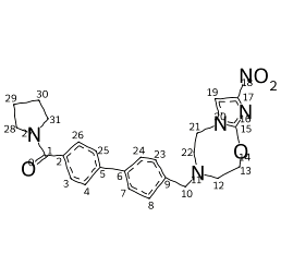 O=C(c1ccc(-c2ccc(CN3CCOc4nc([N+](=O)[O-])cn4CC3)cc2)cc1)N1CCCC1